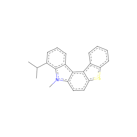 CC(C)c1cccc2c3c4c(ccc3n(C)c12)sc1ccccc14